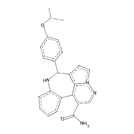 CC(C)Oc1ccc(C2Nc3ccccc3-c3c(C(N)=O)cnn4ccc2c34)cc1